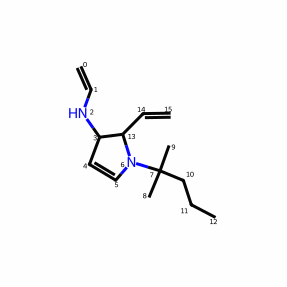 C=CNC1C=CN(C(C)(C)CCC)C1C=C